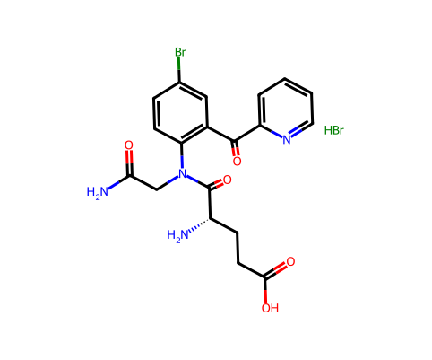 Br.NC(=O)CN(C(=O)[C@@H](N)CCC(=O)O)c1ccc(Br)cc1C(=O)c1ccccn1